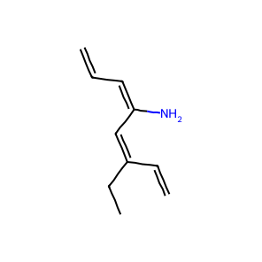 C=C/C=C(N)\C=C(/C=C)CC